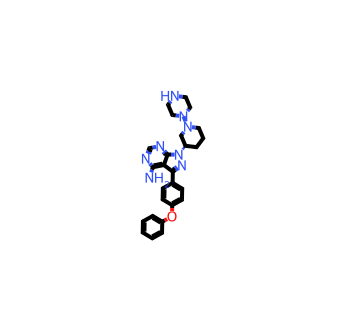 Nc1ncnc2c1c(-c1ccc(Oc3ccccc3)cc1)nn2[C@@H]1CCCN(N2CCNCC2)C1